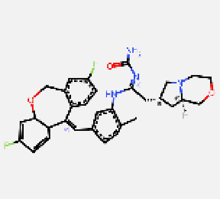 Cc1ccc(/C=C2\c3ccc(F)cc3COC3C=C(F)C=CC23)cc1N/C(C[C@H]1C[C@@H]2COCCN2C1)=N\C(N)=O